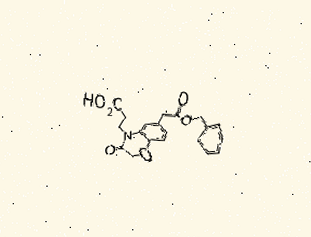 O=C(O)CCN1C(=O)COc2ccc(CC(=O)OCc3ccccc3)cc21